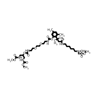 COC(=O)NCC(CNC(=O)OC)OC(=O)NCCOCCOCCNC(=O)Oc1cc(C)cc(C)c1C(C)(C)CC(=O)NCCCCCCNOP(=O)(O)OC